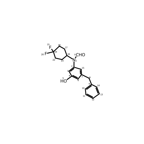 O=CN(c1cc(O)cc(Cc2ccccc2)c1)C1CCC(F)(F)CC1